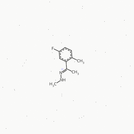 CN/N=C(\C)c1cc(F)ccc1C